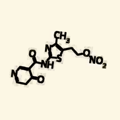 Cc1nc(NC(=O)C2=CN=CCC2=O)sc1CCO[N+](=O)[O-]